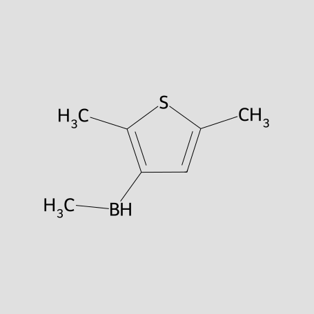 CBc1cc(C)sc1C